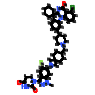 Cn1nc(N2CCC(=O)NC2=O)c2cc(F)c(N3CC4(CCC(CN5CCC(c6ccc7c(c6)-n6c(nc(=O)c8c(Cl)cccc86)C76CCCCC6)CC5)CC4)C3)cc21